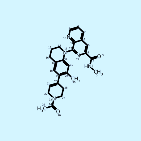 CNC(=O)c1cc2cccnc2c(N2CCCc3cc(C4=CCN(C(C)=O)CC4)c(C)cc32)n1